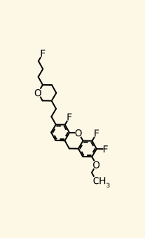 CCOc1cc2c(c(F)c1F)Oc1c(ccc(CCC3CCC(CCCF)OC3)c1F)C2